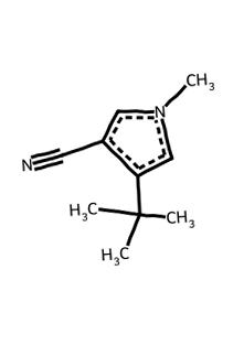 Cn1cc(C#N)c(C(C)(C)C)c1